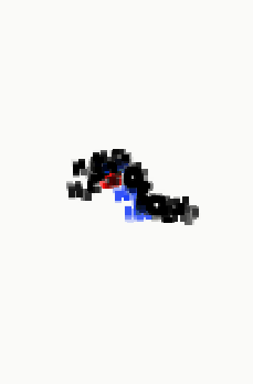 CCC(=O)N(C)CC(=O)N(CC)c1ccc2cc(-c3n[nH]c4c3CCC(C)(C)C4)[nH]c2c1